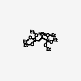 CCCCC(C[Si](OCC)(OCC)OCC)[Si](OCC)(OCC)OCC